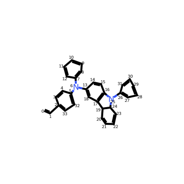 C=Cc1ccc(N(c2ccccc2)c2ccc3c(c2)C2C=CC=CC2N3c2ccccc2)cc1